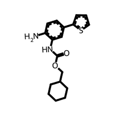 Nc1ccc(-c2cccs2)cc1NC(=O)OCC1CCCCC1